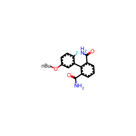 CCCCOc1ccc(F)c(-c2c(C(N)=O)cccc2C(N)=O)c1